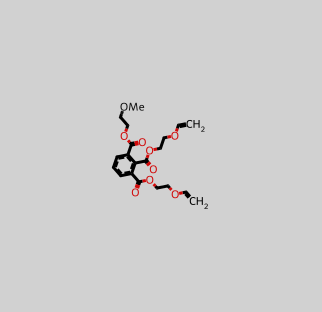 C=COCCOC(=O)c1cccc(C(=O)OCCOC)c1C(=O)OCCOC=C